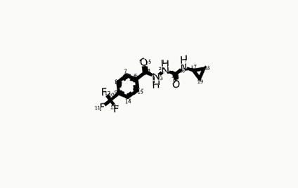 O=C(NNC(=O)c1ccc(C(F)(F)F)cc1)NC1CC1